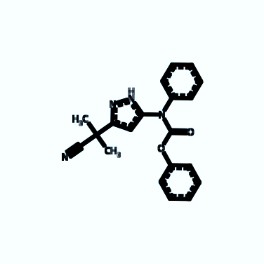 CC(C)(C#N)c1cc(N(C(=O)Oc2ccccc2)c2ccccc2)[nH]n1